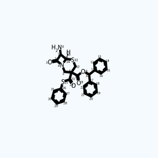 NC1C(=O)N2CC(C(=O)OC(c3ccccc3)c3ccccc3)(C(=O)Sc3ccccc3)CS[C@H]12